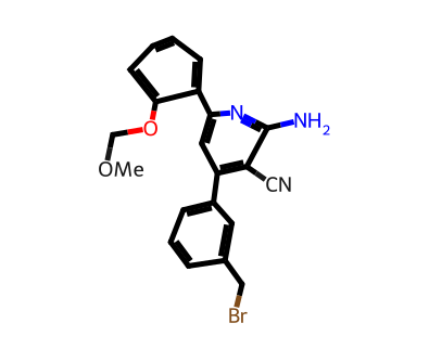 COCOc1ccccc1-c1cc(-c2cccc(CBr)c2)c(C#N)c(N)n1